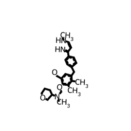 CN/C=C\C(=N)c1ccc(Cc2cc(C=O)c(OCN(C)C3CCCOC3)c(C)c2C)cc1